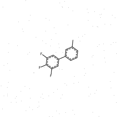 Cc1cccc(-c2cc(F)c(F)c(F)c2)c1